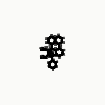 CC(C)(C)C(=C(c1ccccc1)c1cccc(-c2ccccc2)c1C(=C(C(C)(C)C)C(C)(C)C)c1ccccc1)C(C)(C)C